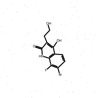 O=c1[nH]c2c(F)c(Br)ccc2c(O)c1CCO